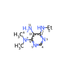 CCNc1ncnc(N(C)C)c1N